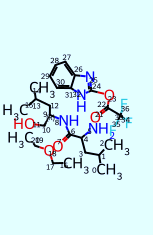 CC(C)CC(N)C(=O)N[C@@H](CO)CC(C)C.CCOCC.O=C(Oc1nc2ccccc2[nH]1)C(F)(F)F